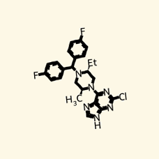 CC[C@@H]1CN(c2nc(Cl)nc3[nH]cnc23)[C@@H](C)CN1C(c1ccc(F)cc1)c1ccc(F)cc1